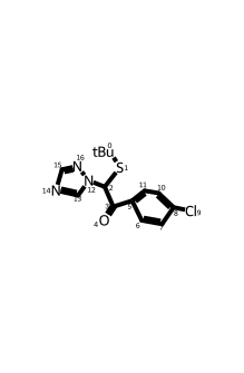 CC(C)(C)SC(C(=O)c1ccc(Cl)cc1)n1cncn1